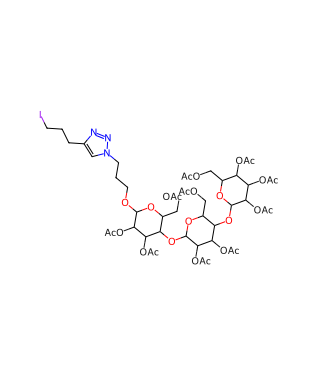 CC(=O)OCC1OC(OC2C(COC(C)=O)OC(OC3C(COC(C)=O)OC(OCCCn4cc(CCCI)nn4)C(OC(C)=O)C3OC(C)=O)C(OC(C)=O)C2OC(C)=O)C(OC(C)=O)C(OC(C)=O)C1OC(C)=O